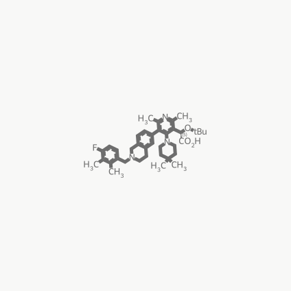 Cc1nc(C)c([C@H](OC(C)(C)C)C(=O)O)c(N2CCC(C)(C)CC2)c1-c1ccc2c(c1)CCN(Cc1ccc(F)c(C)c1C)C2